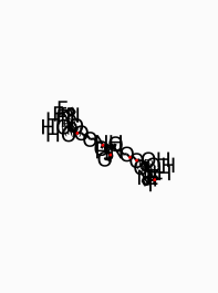 CC(=O)CSC(CC(=O)NCCOCCOC[C@H]1OC[C@@H](Nc2ncccc2C(F)(F)F)[C@@H](O)[C@H]1O)C(=O)NCCOCCOC[C@H]1OC[C@@H](Nc2ncccc2C(F)(F)F)[C@@H](O)[C@H]1O